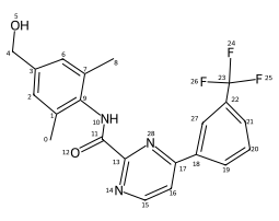 Cc1cc(CO)cc(C)c1NC(=O)c1nccc(-c2cccc(C(F)(F)F)c2)n1